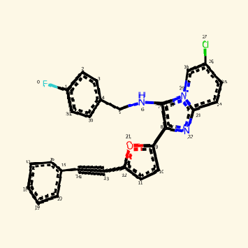 Fc1ccc(CNc2c(-c3ccc(C#Cc4ccccc4)o3)nc3ccc(Cl)cn23)cc1